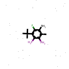 Bc1c(C)c(P)c(P)c(C(C)(C)C)c1F